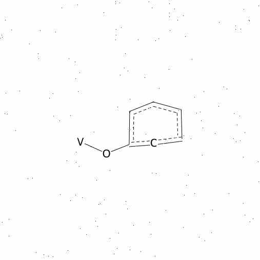 [V][O]c1ccccc1